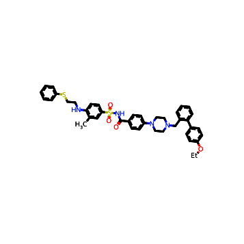 CCOc1ccc(-c2ccccc2CN2CCN(c3ccc(C(=O)NS(=O)(=O)c4ccc(NCCSc5ccccc5)c(C)c4)cc3)CC2)cc1